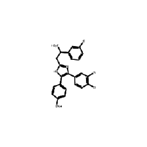 COc1ccc(-c2[nH]c(CC(C(=O)O)c3cccc(Cl)c3)nc2-c2ccc(Cl)c(Cl)c2)cc1